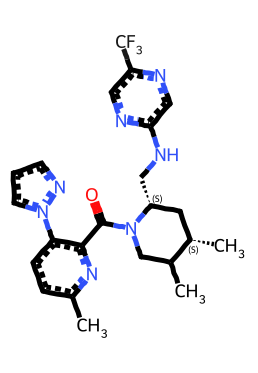 Cc1ccc(-n2cccn2)c(C(=O)N2CC(C)[C@@H](C)C[C@H]2CNc2cnc(C(F)(F)F)cn2)n1